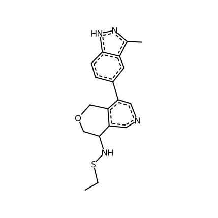 CCSNC1COCc2c(-c3ccc4[nH]nc(C)c4c3)cncc21